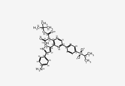 CC(C)S(=O)(=O)c1ccc(-c2cnc(N(C(=O)O)C(=O)OC(C)(C)C)c(-c3cc(-c4ccc(N)cc4)no3)n2)cc1